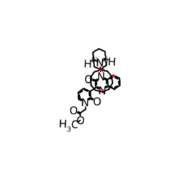 COC(=O)Cn1cccc(-c2nc3ccccc3n([C@H]3C[C@H]4CCC[C@@H](C3)N4C3CCCCCCCCC3)c2=O)c1=O